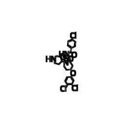 O=C(NS(=O)(=O)[N+]1(C2CCNCC2)CCC(Oc2ccc(Cl)c(Cl)c2)CC1)c1ccc(Cl)cc1